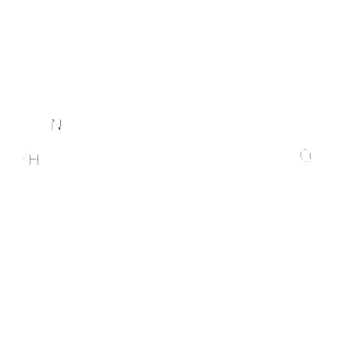 [2H]N(C)c1ccc(C2=C(c3ccccc3)OCCC2)cc1